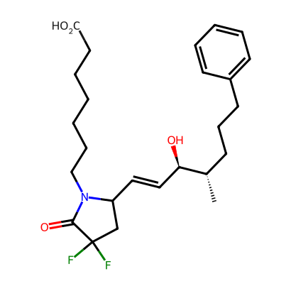 C[C@@H](CCCc1ccccc1)[C@H](O)C=CC1CC(F)(F)C(=O)N1CCCCCCC(=O)O